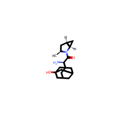 N#C[C@H]1C[C@H]2C[C@H]2N1C(=O)[C@H](N)C12CC3CC(CC(O)(C3)C1)C2